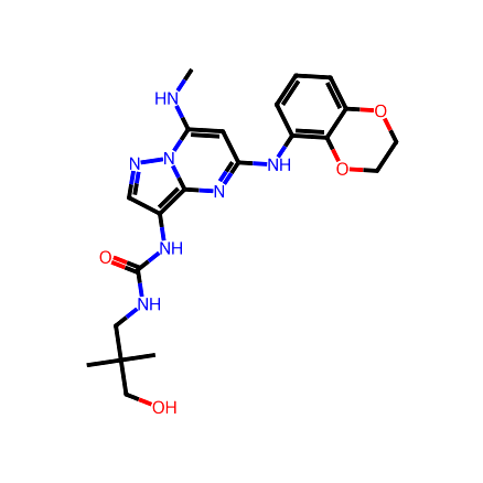 CNc1cc(Nc2cccc3c2OCCO3)nc2c(NC(=O)NCC(C)(C)CO)cnn12